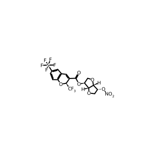 O=C(O[C@H]1CO[C@H]2[C@@H]1OC[C@H]2O[N+](=O)[O-])C1=Cc2cc(S(F)(F)(F)(F)F)ccc2O[C@@H]1C(F)(F)F